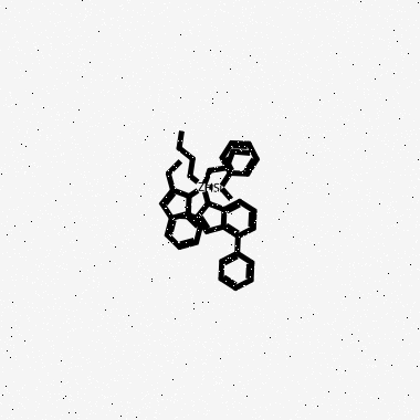 CCC[CH2][Zr]([CH2]CCC)([CH]1C(CC)=Cc2ccccc21)([CH]1C(C)=Cc2c(-c3ccccc3)cccc21)[SiH](C)c1ccccc1